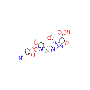 COc1cc(C#N)ccc1COc1nc(C23CCN(Cc4nc5c(OC)cc(C(=O)O)cc5n4CC4CCO4)CC2C3)ccc1OC